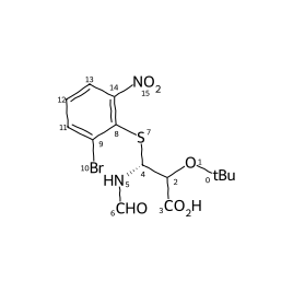 CC(C)(C)OC(C(=O)O)[C@H](NC=O)Sc1c(Br)cccc1[N+](=O)[O-]